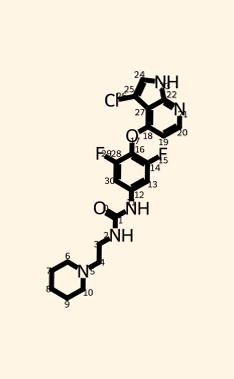 O=C(NCCN1CCCCC1)Nc1cc(F)c(Oc2ccnc3[nH]cc(Cl)c23)c(F)c1